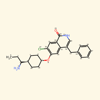 CCC(N)[C@H]1CC[C@@H](Oc2cc3c(Cc4ccccc4)c[nH]c(=O)c3cc2Cl)CC1